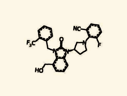 N#Cc1cccc(F)c1N1CC[C@@H](n2c(=O)n(Cc3ccccc3C(F)(F)F)c3c(CO)cccc32)C1